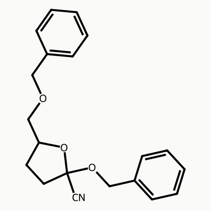 N#CC1(OCc2ccccc2)CCC(COCc2ccccc2)O1